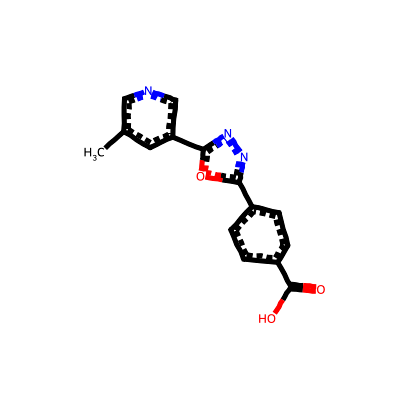 Cc1cncc(-c2nnc(-c3ccc(C(=O)O)cc3)o2)c1